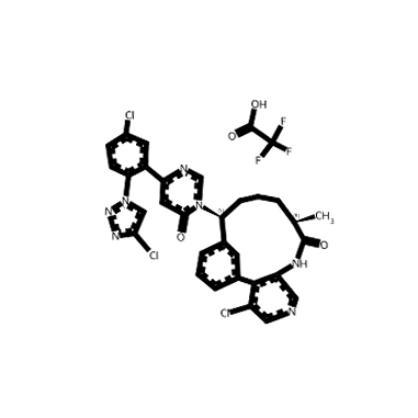 C[C@@H]1CCC[C@H](n2cnc(-c3cc(Cl)ccc3-n3cc(Cl)nn3)cc2=O)c2cccc(c2)-c2c(Cl)cncc2NC1=O.O=C(O)C(F)(F)F